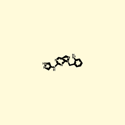 Nc1ccccc1Cn1ncc2cnc(Nc3cn[nH]c3)nc21